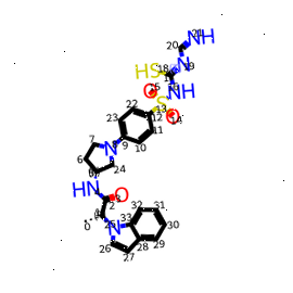 C[C@H](C(=O)N[C@@H]1CCN(c2ccc(S(=O)(=O)N/C(S)=N/C=N)cc2)C1)n1ccc2ccccc21